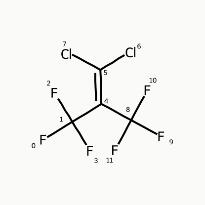 FC(F)(F)C(=C(Cl)Cl)C(F)(F)F